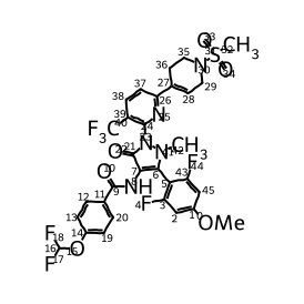 COc1cc(F)c(-c2c(NC(=O)c3ccc(OC(F)F)cc3)c(=O)n(-c3nc(C4=CCN(S(C)(=O)=O)CC4)ccc3C(F)(F)F)n2C)c(F)c1